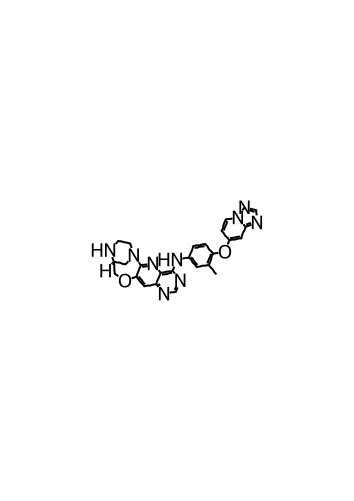 Cc1cc(Nc2ncnc3cc4c(nc23)N2CCN[C@@H](CO4)C2)ccc1Oc1ccn2ncnc2c1